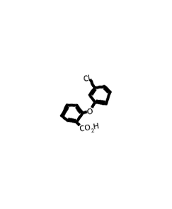 O=C(O)c1ccccc1Oc1cccc(Cl)c1